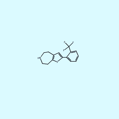 FC(F)(F)c1ccccc1-c1cc2c(s1)CCNCC2